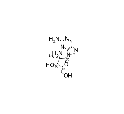 C#CC1(N)[C@@H](O)[C@@H](CO)O[C@H]1n1cnc2cnc(N)nc21